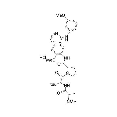 CNC(C)C(=O)NC(C(=O)N1CCCC1C(=O)Nc1cc2c(Nc3cccc(OC)c3)ncnc2cc1OC)C(C)(C)C.Cl